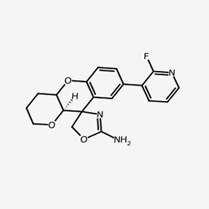 NC1=NC2(CO1)c1cc(-c3cccnc3F)ccc1OC1CCCO[C@@H]12